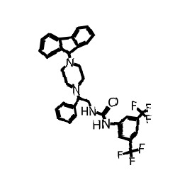 O=C(NCC(c1ccccc1)N1CCN(C2c3ccccc3-c3ccccc32)CC1)Nc1cc(C(F)(F)F)cc(C(F)(F)F)c1